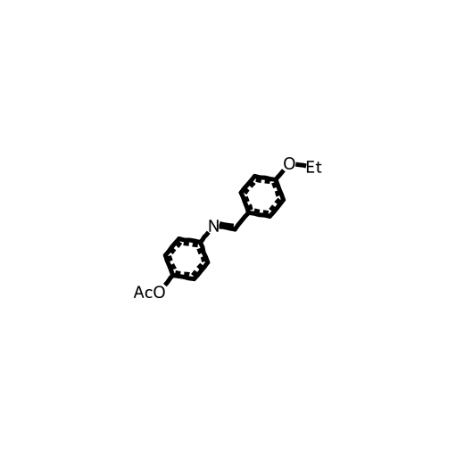 CCOc1ccc(/C=N/c2ccc(OC(C)=O)cc2)cc1